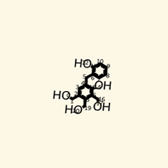 OCc1cc(Cc2ccccc2O)c(O)c(CO)c1CO